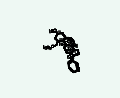 C[C@]12CC[C@H]3[C@@H](CC=C4C[C@@H](O)CC(CC(=O)O)[C@@]43C)[C@@H]1CC=C2c1cccnc1